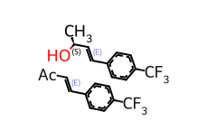 CC(=O)/C=C/c1ccc(C(F)(F)F)cc1.C[C@H](O)/C=C/c1ccc(C(F)(F)F)cc1